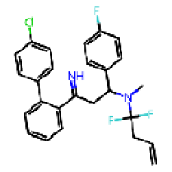 C=CCC(F)(F)N(C)C(CC(=N)c1ccccc1-c1ccc(Cl)cc1)c1ccc(F)cc1